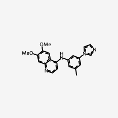 COc1cc2nccc(Nc3cc(C)cc(-n4ccnc4)c3)c2cc1OC